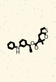 C#CC(OC(=O)C1C(C=C2C=CSC2=O)C1(C)C)c1cccc(Nc2ccccc2)c1